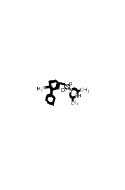 CC1CN(S(=O)(=O)Cc2ccc(N)c(C3=CCCCC3)c2)CC(C)N1